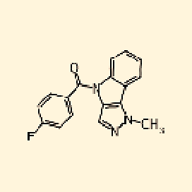 Cn1ncc2c1c1ccccc1n2C(=O)c1ccc(F)cc1